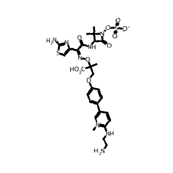 C[n+]1cc(-c2ccc(OCC(C)(O/N=C(\C(=O)NC3C(=O)N(OS(=O)(=O)[O-])C3(C)C)c3csc(N)n3)C(=O)O)cc2)ccc1NCCN